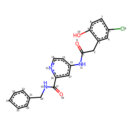 O=C(Cc1cc(Cl)ccc1O)Nc1ccnc(C(=O)NCc2ccccc2)c1